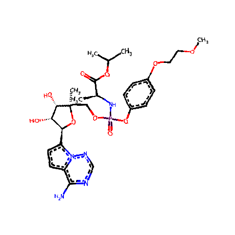 COCCOc1ccc(OP(=O)(N[C@@H](C)C(=O)OC(C)C)OC[C@@]2(C)O[C@@H](c3ccc4c(N)ncnn34)[C@H](O)[C@@H]2O)cc1